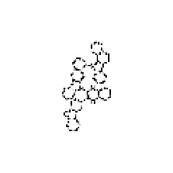 c1cc(-n2c3ccccc3c3ccc4ccccc4c32)c2cc3c(cc2c1)c1ccccc1n3-c1nc2ccccc2nc1-c1ccc2oc3ccccc3c2c1